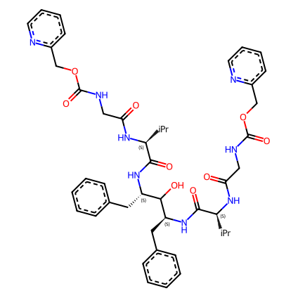 CC(C)[C@H](NC(=O)CNC(=O)OCc1ccccn1)C(=O)N[C@@H](Cc1ccccc1)C(O)[C@H](Cc1ccccc1)NC(=O)[C@@H](NC(=O)CNC(=O)OCc1ccccn1)C(C)C